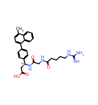 Cc1ccc(-c2ccc([C@H](CC(=O)O)NC(=O)CNC(=O)CCCCNC(=N)N)cc2)c2ccccc12